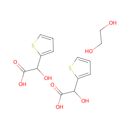 O=C(O)C(O)c1cccs1.O=C(O)C(O)c1cccs1.OCCO